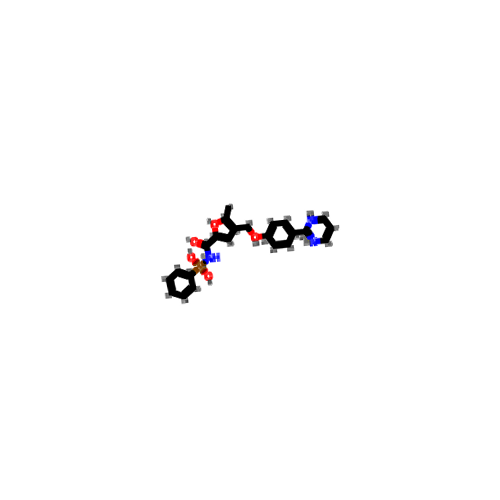 Cc1oc(C(=O)NS(=O)(=O)c2ccccc2)cc1COc1ccc(-c2ncccn2)cc1